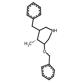 C[C@@H]1C(Cc2ccccc2)CNCC1OCc1ccccc1